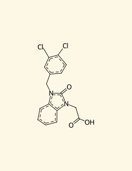 O=C(O)Cn1c(=O)n(Cc2ccc(Cl)c(Cl)c2)c2ccccc21